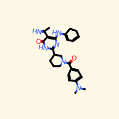 CC(=N)c1c(NC2=CC=CCC2)nc(C2CCCN(C(=O)c3ccc(N(C)C)cc3)C2)[nH]c1=O